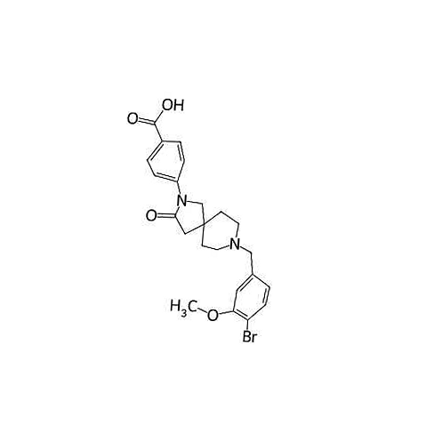 COc1cc(CN2CCC3(CC2)CC(=O)N(c2ccc(C(=O)O)cc2)C3)ccc1Br